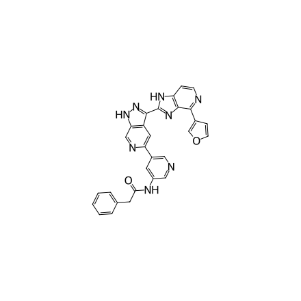 O=C(Cc1ccccc1)Nc1cncc(-c2cc3c(-c4nc5c(-c6ccoc6)nccc5[nH]4)n[nH]c3cn2)c1